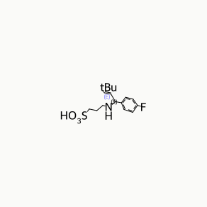 CC(C)(C)/C=C/[C@H](NCCCS(=O)(=O)O)c1ccc(F)cc1